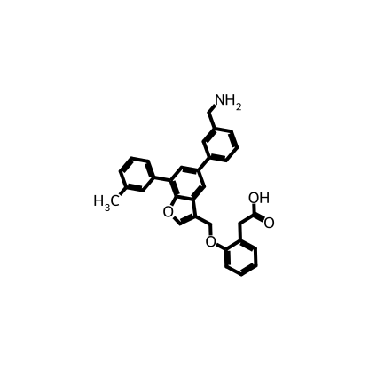 Cc1cccc(-c2cc(-c3cccc(CN)c3)cc3c(COc4ccccc4CC(=O)O)coc23)c1